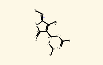 CCC[C@@H](OC(C)=O)C1=C(Br)/C(=C/I)OC1=O